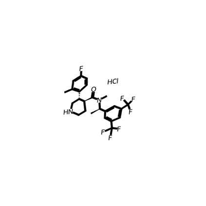 Cc1cc(F)ccc1[C@H]1CNCC[C@@H]1C(=O)N(C)[C@H](C)c1cc(C(F)(F)F)cc(C(F)(F)F)c1.Cl